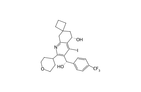 O[C@@H](c1ccc(C(F)(F)F)cc1)c1c(C2CCOCC2)nc2c(c1I)[C@@H](O)CC1(CCC1)C2